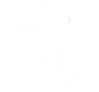 COc1cc(OC)cc(C(=CCNC(C)C)c2ccc3ncc(-c4cnn(C)c4)nc3c2)c1